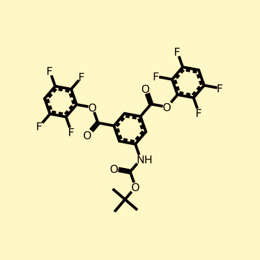 CC(C)(C)OC(=O)Nc1cc(C(=O)Oc2c(F)c(F)cc(F)c2F)cc(C(=O)Oc2c(F)c(F)cc(F)c2F)c1